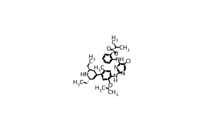 CC[C@H]1CC(c2cc(OC(C)C)c(Nc3ncc(Cl)c(Nc4ccccc4S(=O)(=O)C(C)C)n3)cc2C)=C[C@H](CC)N1